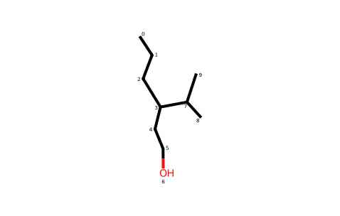 CCCC(CCO)C(C)C